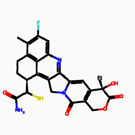 CC[C@@]1(O)C(=O)OCc2c1cc1n(c2=O)Cc2c-1nc1cc(F)c(C)c3c1c2[C@@H](C(S)C(N)=O)CC3